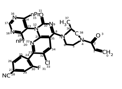 C=CC(=O)N1CCN(c2nc(=O)n(-c3c(CCC)ncnc3CCC)c3nc(-c4ccc(C#N)cc4F)c(Cl)cc23)[C@@H](C)C1